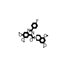 COc1cc2c(c(OC)c1)CCN(C(=O)c1nc(-c3ccc(F)cc3)nc3cc(OC)c(OC)cc13)C2